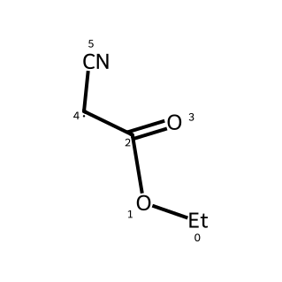 CCOC(=O)[CH]C#N